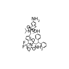 COC(=O)N(C(=O)[C@@H](N)C(c1ccccc1)c1ccccc1)[C@H](c1ccc([C@@H](CO)N(C(C)C)S(=O)(=O)c2cc(N)cs2)s1)C(F)(F)F